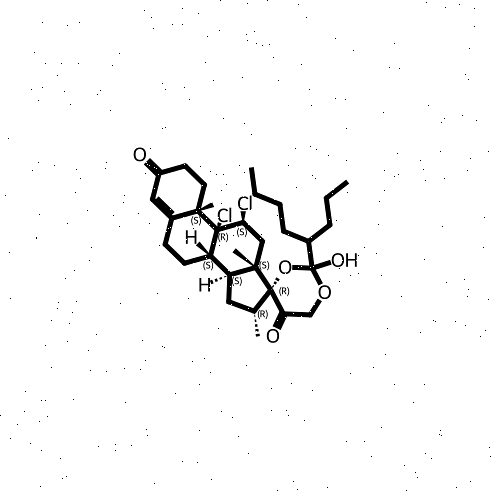 CCCCC(CCC)C1(O)OCC(=O)[C@@]2(O1)[C@H](C)C[C@H]1[C@@H]3CCC4=CC(=O)CC[C@]4(C)[C@@]3(Cl)[C@@H](Cl)C[C@@]12C